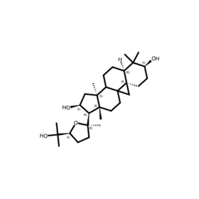 CC(C)(O)[C@@H]1CC[C@](C)([C@H]2[C@@H](O)C[C@@]3(C)C4CC[C@H]5C(C)(C)[C@@H](O)CC[C@@]56CC46CC[C@]23C)O1